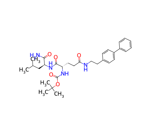 CC(C)C[C@H](NC(=O)[C@H](CCC(=O)NCCc1ccc(-c2ccccc2)cc1)NC(=O)OC(C)(C)C)C(N)=O